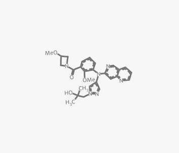 COc1c(C(=O)N2CC(OC)C2)cccc1N(c1cnn(CC(C)(C)O)c1)c1cc2ncccc2cn1